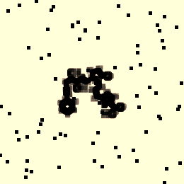 CC(CC#Cc1ccccc1)[C@@H](O)/C=C/[C@H]1CCC(=O)N1C/C=C\c1ccc(C(=O)O)s1